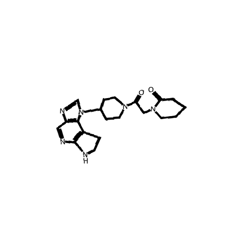 O=C(CN1CCCCC1=O)N1CCC(n2cnc3cnc4c(c32)CCN4)CC1